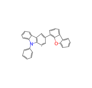 [c]1cc(-c2cccc3c2oc2ccccc23)cc2c3ccccc3n(-c3ccccc3)c12